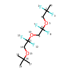 CC(F)(F)COC(F)(F)COC(F)(F)COC(C)(C)C